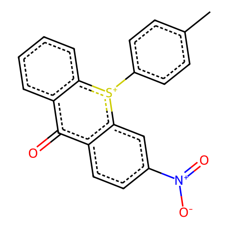 Cc1ccc(-[s+]2c3ccccc3c(=O)c3ccc([N+](=O)[O-])cc32)cc1